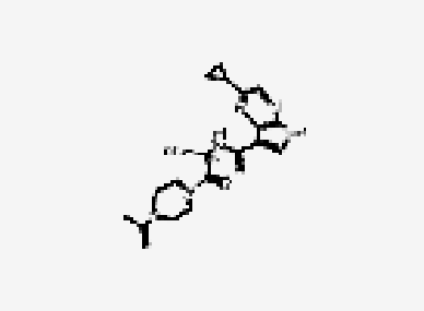 C=C(N[C@@H](C(=O)N1CCN(C(=C)C)CC1)C(C)(C)C)c1c[nH]c2ncc(C3CC3)nc12